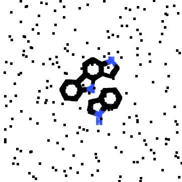 C1=Cc2c3c(ccc2=N1)=c1ccccc1=N3.c1ccc2[nH]ccc2c1